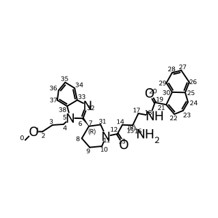 COCCCn1c([C@@H]2CCCN(C(=O)C[C@@H](N)CNC(=O)c3cccc4ccccc34)C2)nc2ccccc21